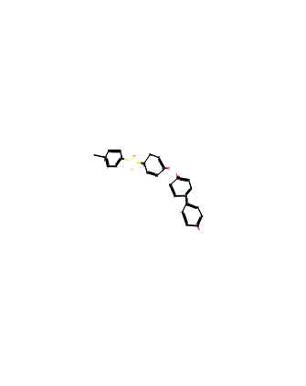 Cc1ccc(S(=O)(=O)C2C=CC(Oc3ccc(-c4ccc(O)cc4)cc3)=CC2)cc1